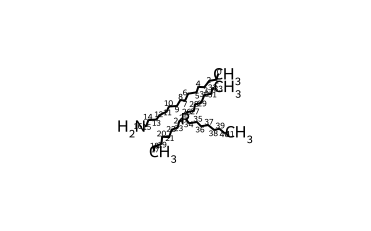 CCCCCCCCCCCCCCCCN.CCCCCCCCP(CCCCCCCC)CCCCCCCC